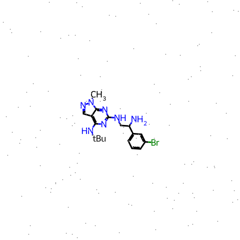 Cn1ncc2c(NC(C)(C)C)nc(NCC(N)c3cccc(Br)c3)nc21